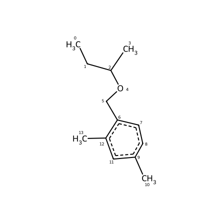 CCC(C)OCc1ccc(C)cc1C